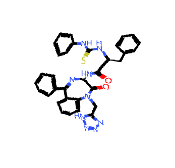 O=C(N[C@H]1N=C(c2ccccc2)c2ccccc2N(Cc2nnn[nH]2)C1=O)[C@H](Cc1ccccc1)NC(=S)Nc1ccccc1